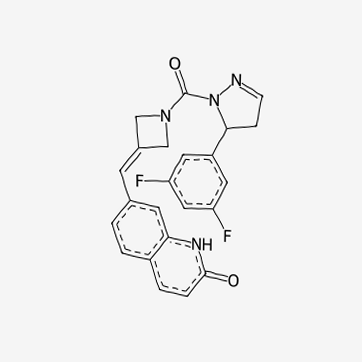 O=C(N1CC(=Cc2ccc3ccc(=O)[nH]c3c2)C1)N1N=CCC1c1cc(F)cc(F)c1